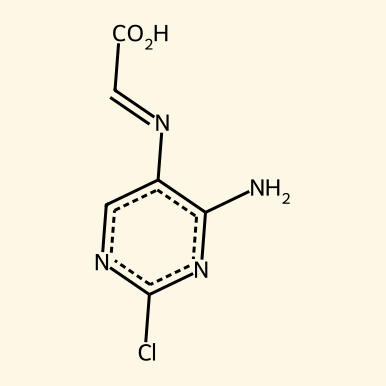 Nc1nc(Cl)ncc1N=CC(=O)O